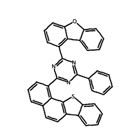 c1ccc(-c2nc(-c3cccc4oc5ccccc5c34)nc(-c3cccc4ccc5c6ccccc6sc5c34)n2)cc1